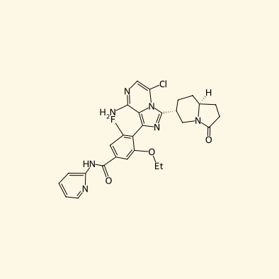 CCOc1cc(C(=O)Nc2ccccn2)cc(F)c1-c1nc([C@@H]2CC[C@H]3CCC(=O)N3C2)n2c(Cl)cnc(N)c12